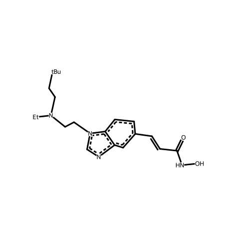 CCN(CCn1cnc2cc(C=CC(=O)NO)ccc21)CCC(C)(C)C